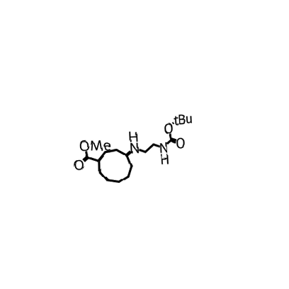 COC(=O)C1CCCCCC(NCCNC(=O)OC(C)(C)C)CC1